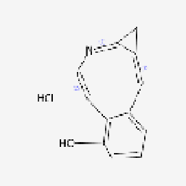 Cl.Oc1cccc2c1\C=C/N=C1/C/C1=C/2